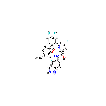 COc1ccc(C2(C(=O)N3C[C@H](F)C[C@@H]3C(=O)Nc3ccc4[nH]ncc4c3F)CCC(F)(F)CC2)cc1